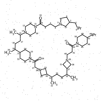 CC(C)CC1CCN(CCCC(=O)N2CCN(C(C)CCC(C)C3CCN(C(=O)CN4CC(C(C)CCC(C)C5CN(CCC(=O)N6CCC(C(C)C)CC6)C5)C4)CC3)CC2)C1